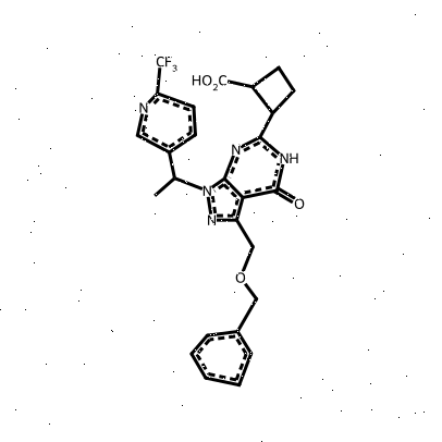 CC(c1ccc(C(F)(F)F)nc1)n1nc(COCc2ccccc2)c2c(=O)[nH]c(C3CCC3C(=O)O)nc21